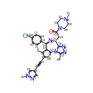 Cc1c(C#Cc2cnn(C)c2)sc2c1C(c1ccc(Cl)cc1)=N[C@@H](CC(=O)N1CCN(C)CC1)c1nnc(C)n1-2